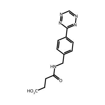 O=C(O)CCC(=O)NCc1ccc(-c2nncnn2)cc1